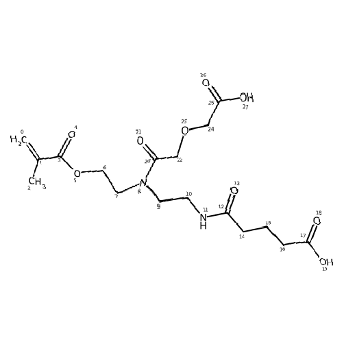 C=C(C)C(=O)OCCN(CCNC(=O)CCCC(=O)O)C(=O)COCC(=O)O